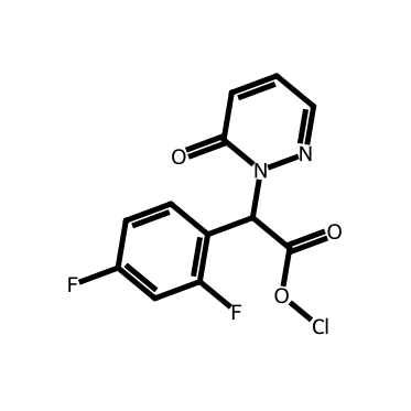 O=C(OCl)C(c1ccc(F)cc1F)n1ncccc1=O